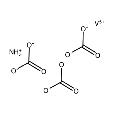 O=C([O-])[O-].O=C([O-])[O-].O=C([O-])[O-].[NH4+].[V+5]